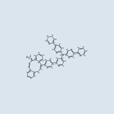 C=C1/C=C\c2ccccc2C/C=C(/c2ccc(-c3cccc(N(c4ccc(C5=CCCC=C5)cc4)c4ccc(-c5ccccc5)cc4)c3)cc2)c2ccccc21